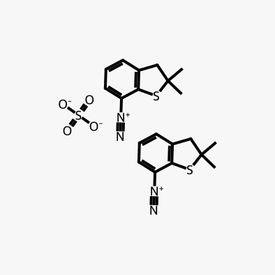 CC1(C)Cc2cccc([N+]#N)c2S1.CC1(C)Cc2cccc([N+]#N)c2S1.O=S(=O)([O-])[O-]